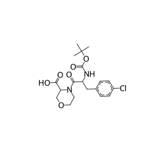 CC(C)(C)OC(=O)NC(Cc1ccc(Cl)cc1)C(=O)N1CCOCC1C(=O)O